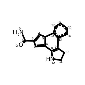 NC(=O)C1=CC2C(=C1)C1=C(CCN1)c1ccccc12